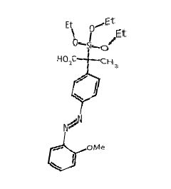 CCO[Si](OCC)(OCC)C(C)(C(=O)O)c1ccc(N=Nc2ccccc2OC)cc1